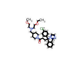 CCOCCN(CCOC)CC1CCN(C(=O)CCC2(c3ccc(Cl)cc3)c3ccccc3-c3nccn32)CC1